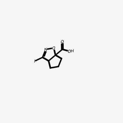 O=C(O)C12CCCC1C(I)=NO2